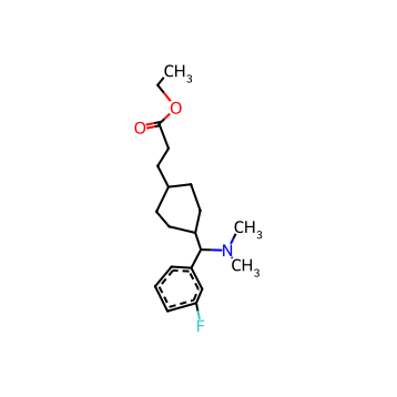 CCOC(=O)CCC1CCC(C(c2cccc(F)c2)N(C)C)CC1